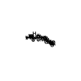 COc1c(CNC(=O)c2cc(C3CC3)nn2C)cccc1OCc1ccc(OC(=O)N2CCN(S(C)(=O)=O)CC2)cc1